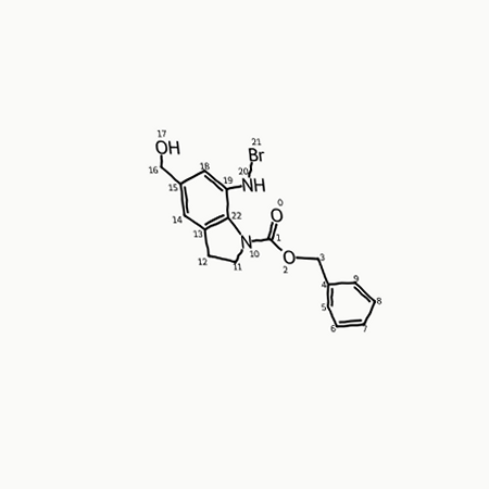 O=C(OCc1ccccc1)N1CCc2cc(CO)cc(NBr)c21